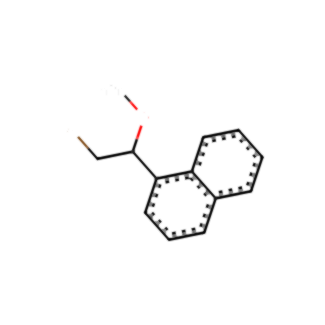 CCCOC(CBr)c1cccc2ccccc12